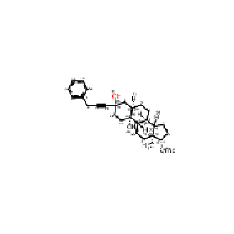 CO[C@H]1CC[C@H]2[C@@H]3CC[C@@H]4C[C@@](O)(C#CCc5ccccc5)CC[C@]4(C)[C@H]3CC[C@]12C